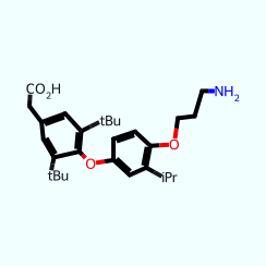 CC(C)c1cc(Oc2c(C(C)(C)C)cc(CC(=O)O)cc2C(C)(C)C)ccc1OCCCN